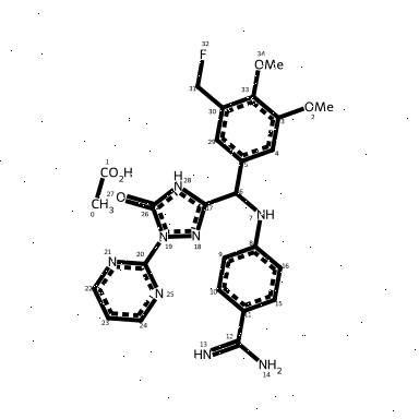 CC(=O)O.COc1cc(C(Nc2ccc(C(=N)N)cc2)c2nn(-c3ncccn3)c(=O)[nH]2)cc(CF)c1OC